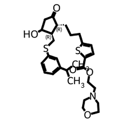 CC(C)c1cccc(SC[C@H]2C(O)CC(=O)[C@@H]2CCCc2ccc(C(=O)OCCN3CCOCC3)s2)c1